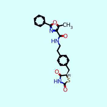 Cc1oc(-c2ccccc2)nc1C(=O)NCCc1ccc(C[C@H]2SC(=O)NC2=O)cc1